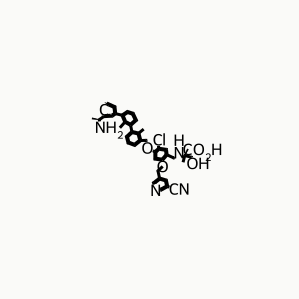 Cc1c(COc2cc(OCc3cncc(C#N)c3)c(CN[C@@](C)(CO)C(=O)O)cc2Cl)cccc1-c1cccc(-c2cccc([C@H](C)N)c2)c1C